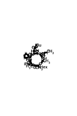 C=CCOC[C@@H]1NC(=O)[C@H](CNC(=O)OC(C)(C)C)NC(=O)[C@H](C2CCCCC2)NC(=O)[C@H](CC(C)C)N(C)C(=O)[C@H](C)[C@@H](CCCCCC)OC[C@@H](C)NC1=O